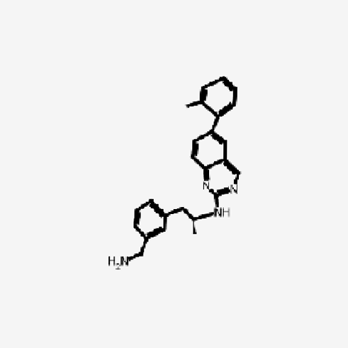 Cc1ccccc1-c1ccc2nc(N[C@@H](C)Cc3cccc(CN)c3)ncc2c1